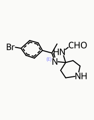 C/C(=N\C1(NC=O)CCNCC1)c1ccc(Br)cc1